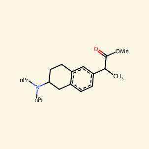 CCCN(CCC)C1CCc2cc(C(C)C(=O)OC)ccc2C1